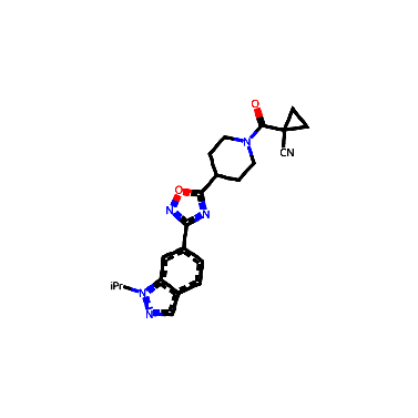 CC(C)n1ncc2ccc(-c3noc(C4CCN(C(=O)C5(C#N)CC5)CC4)n3)cc21